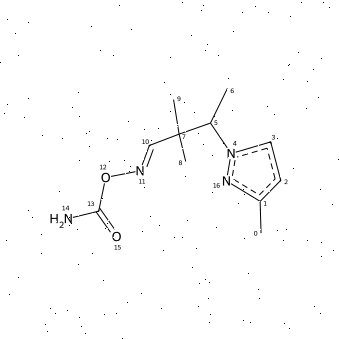 Cc1ccn(C(C)C(C)(C)C=NOC(N)=O)n1